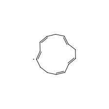 [C]1=C/C=C\C/C=C/C/C=C/C=C\CC/1